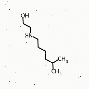 CC(C)CCCCNCCO